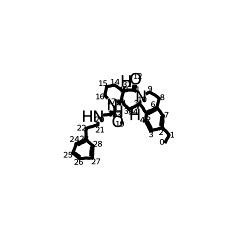 CCc1ccc2c(c1)CCN1C(=O)[C@H]3CCCN(C(=O)NCCc4ccccc4)[C@H]3C[C@H]21